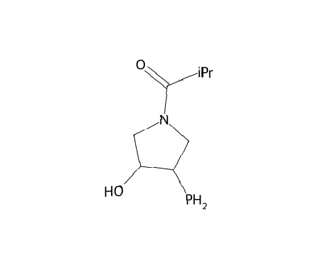 CC(C)C(=O)N1CC(O)C(P)C1